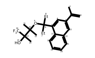 C=C(C)c1cc(C(CC)(CC)OC(C)(C)C(C)(O)C(F)(F)F)c2ccccc2c1